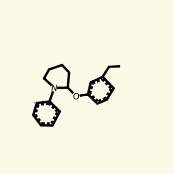 CCc1cccc(OC2CCCCN2c2[c]cccc2)c1